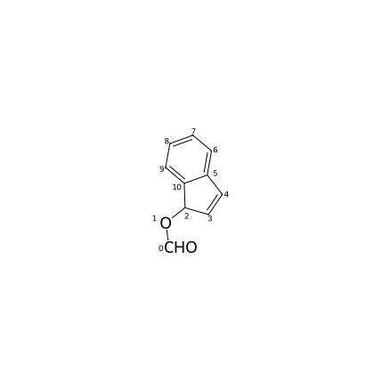 O=COC1C=Cc2ccccc21